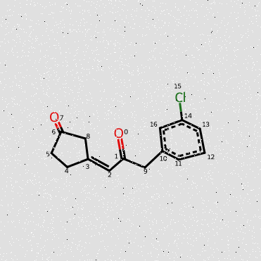 O=C(/C=C1/CCC(=O)C1)Cc1cccc(Cl)c1